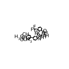 [2H]C([2H])([2H])N1C(=O)c2cccc(OC(F)F)c2[C@H]2C[C@@H]1c1nc3ccc(-c4ccc(C(C)P(C)(C)=O)nc4)cc3n12